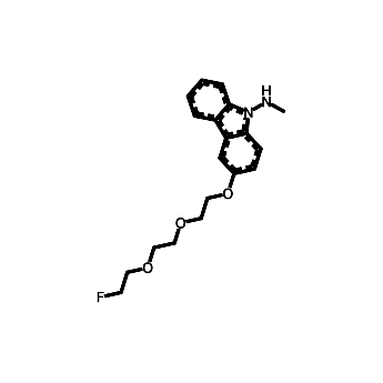 CNn1c2ccccc2c2cc(OCCOCCOCCF)ccc21